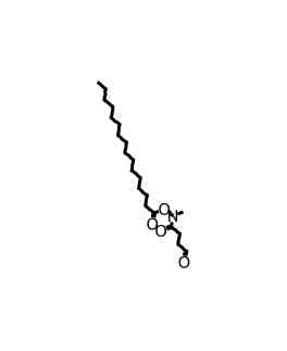 CCCCCCCCCCCCCCCC(=O)ON(C)C(=O)CCC=O